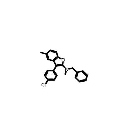 Cc1ccc2oc(N(C)Cc3ccccc3)c(-c3ccc(Cl)cc3)c2c1